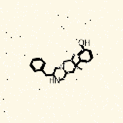 CC1CN2CC(Cc3ccccc3)NCC2C[C@@]1(C)c1cccc(O)c1